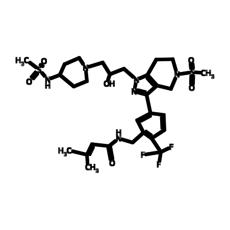 CC(C)=CC(=O)NCc1cc(-c2nn(CC(O)CN3CCC(NS(C)(=O)=O)CC3)c3c2CN(S(C)(=O)=O)CC3)ccc1C(F)(F)F